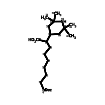 CCCCCCCCCCCCCCCCC(C(=O)O)C1CC(C)(C)NC(C)(C)C1